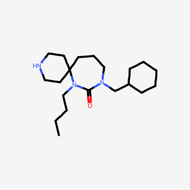 CCCCN1C(=O)N(CC2CCCCC2)CCCC12CCNCC2